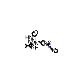 CC(C)c1cnn2c(NCC3CCN(C(=O)/C=C/CN4CCCC4)CC3)nc(NC3CCOCC3)nc12